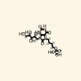 O=c1[nH]c(=O)c2c([nH]1)n(C[C@H](O)[C@@H](O)[C@H](O)CO)c(=O)n2CCCCOP(=O)(O)O